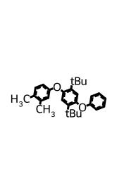 Cc1ccc(Oc2cc(C(C)(C)C)c(Oc3ccccc3)cc2C(C)(C)C)cc1C